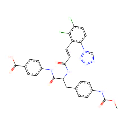 COC(=O)Nc1ccc(CC(NC(=O)/C=C/c2c(-n3cnnn3)ccc(Cl)c2F)C(=O)Nc2ccc(C(=O)O)cc2)cc1